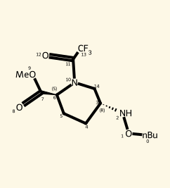 CCCCON[C@@H]1CC[C@@H](C(=O)OC)N(C(=O)C(F)(F)F)C1